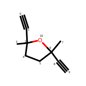 C#CC1(C)CCC(C)(C#C)O1